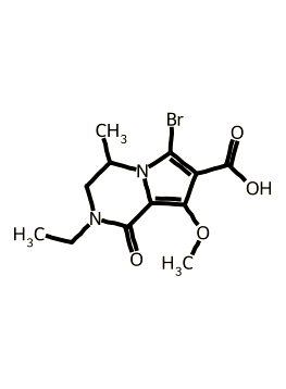 CCN1CC(C)n2c(Br)c(C(=O)O)c(OC)c2C1=O